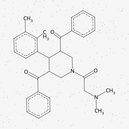 Cc1cccc(C2C(C(=O)c3ccccc3)CN(C(=O)CN(C)C)CC2C(=O)c2ccccc2)c1C